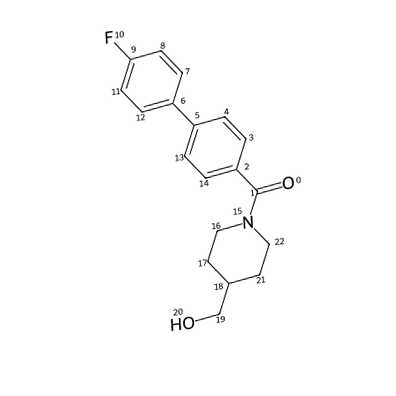 O=C(c1ccc(-c2ccc(F)cc2)cc1)N1CCC(CO)CC1